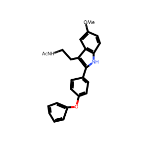 COc1ccc2[nH]c(-c3ccc(Oc4ccccc4)cc3)c(CCNC(C)=O)c2c1